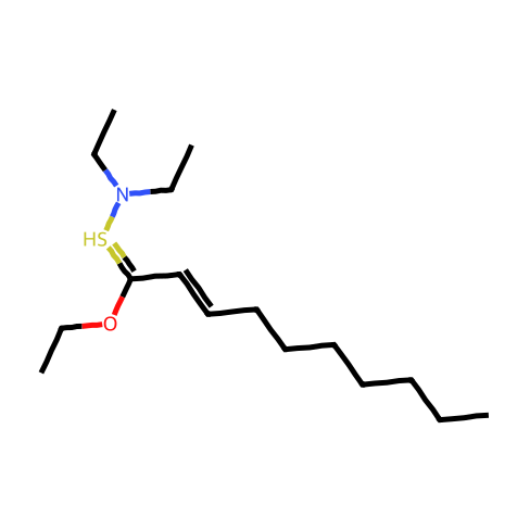 CCCCCCC/C=C/C(OCC)=[SH]\N(CC)CC